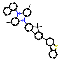 Cc1ccc2c(c1)N(c1cccc3ccccc13)c1cc(C)ccc1N2c1ccc2c(c1)C(C)(C)c1cc(-c3ccc4sc5ccccc5c4c3)ccc1-2